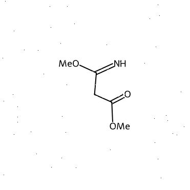 COC(=N)CC(=O)OC